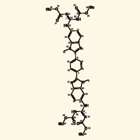 Cn1c(-c2ccc(-c3nc4ccc(N/C(=N\C(=O)OC(C)(C)C)NC(=O)OC(C)(C)C)cc4n3C)cc2)nc2ccc(N/C(=N/C(=O)OC(C)(C)C)NC(=O)OC(C)(C)C)cc21